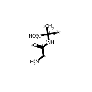 CC(C)C(C)(NC(=O)CN)C(=O)O